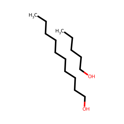 CCCCCCCCCCO.CCCCCO